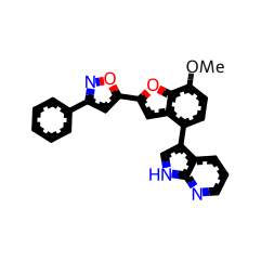 COc1ccc(-c2c[nH]c3ncccc23)c2cc(-c3cc(-c4ccccc4)no3)oc12